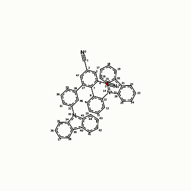 N#Cc1cc(C#N)c(-c2ccccc2-n2c3ccccc3c3ccccc32)c(-c2cccc(-n3c4ccccc4c4ccccc43)c2)c1